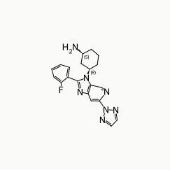 N[C@H]1CCC[C@@H](n2c(-c3ccccc3F)nc3cc(-n4nccn4)ncc32)C1